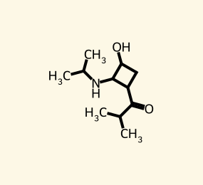 CC(C)NC1C(O)CC1C(=O)C(C)C